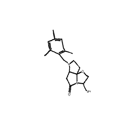 Cc1cc(C)c(CN2CCC34OCC(C(C)C)N3C(=O)CC24)c(C)c1